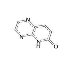 O=c1ccc2nccnc2[nH]1